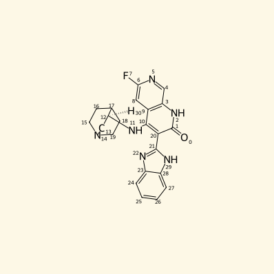 O=c1[nH]c2cnc(F)cc2c(N[C@H]2CN3CCC2CC3)c1-c1nc2ccccc2[nH]1